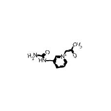 CC(=O)C[n+]1cccc(NC(N)=O)c1